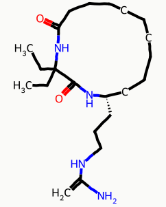 C=C(N)NCCC[C@H]1CCCCCCCCCC(=O)NC(CC)(CC)C(=O)N1